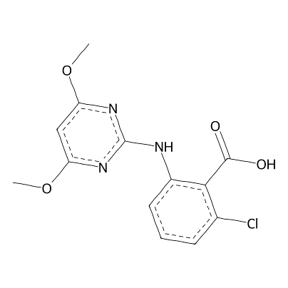 COc1cc(OC)nc(Nc2cccc(Cl)c2C(=O)O)n1